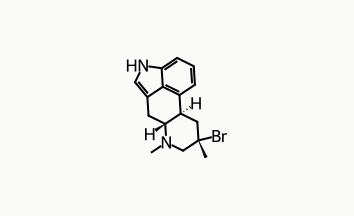 CN1C[C@@](C)(Br)C[C@@H]2c3cccc4[nH]cc(c34)C[C@H]21